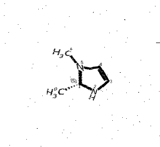 C[C@H]1NC=CN1C